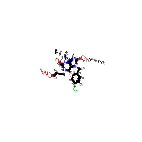 CCCCCOc1nc2c(c(=O)n(CCCO)c(=O)n2C)n1Cc1ccc(Cl)cc1